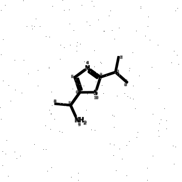 CC(C)c1ncc(C(C)N)s1